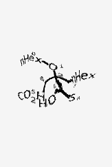 CCCCCCOC(CCCCCC)(CC(=O)O)C(O)=S